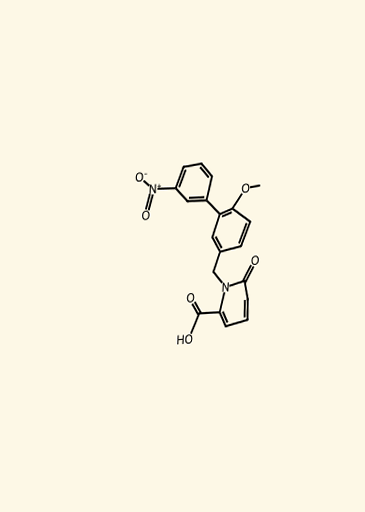 COc1ccc(Cn2c(C(=O)O)cccc2=O)cc1-c1cccc([N+](=O)[O-])c1